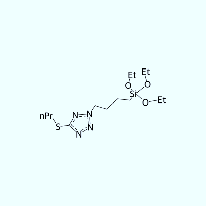 CCCSc1nnn(CCCC[Si](OCC)(OCC)OCC)n1